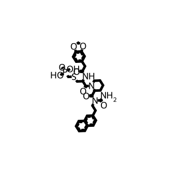 NC(=O)N(CCc1ccc2ccccc2c1)C(=O)C1CCCCN1C(=O)C(CSCP(=O)(O)O)NC(=O)Cc1ccc2c(c1)OCO2